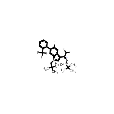 CC(C)(C)Cn1cc(/C(=N\[S@@+]([O-])C(C)(C)C)C(F)F)c2cc(F)c(-c3ccccc3C(F)(F)F)cc21